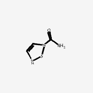 NC(=O)N1C=CNS1